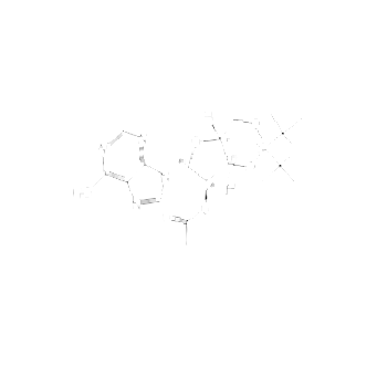 CC(=O)O[C@@H]1[C@@H]2O[Si](C(C)(C)C)(C(C)(C)C)OC[C@H]2O[C@H]1n1cnc2c(O)ncnc21